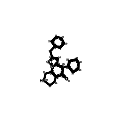 O=c1c2c(n3nc(Cc4ccccc4)cc3n1-c1ccccc1)CNCC2